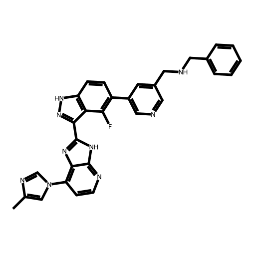 Cc1cn(-c2ccnc3[nH]c(-c4n[nH]c5ccc(-c6cncc(CNCc7ccccc7)c6)c(F)c45)nc23)cn1